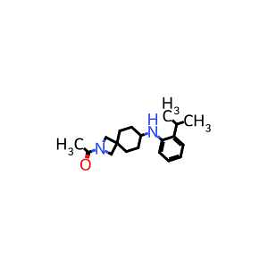 CC(=O)N1CC2(CCC(Nc3ccccc3C(C)C)CC2)C1